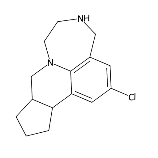 Clc1cc2c3c(c1)C1CCCC1CN3CCNC2